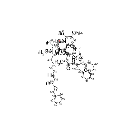 CC[C@H](C)[C@@H]([C@@H](CC(=O)N1CCC[C@H]1[C@H](OC)[C@@H](C)C(=O)NC1(C(=O)N2CCCCO2)C[C@@H]1c1ccccc1)OC)N(C)C(=O)[C@@H](NC(=O)[C@H](C(C)C)N(C)CCCCCNCC(=O)OCc1ccccc1)C(C)C